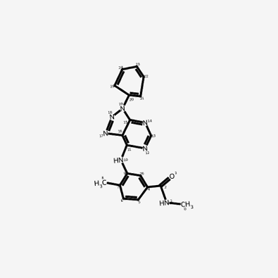 CNC(=O)c1ccc(C)c(Nc2ncnc3c2nnn3-c2ccccc2)c1